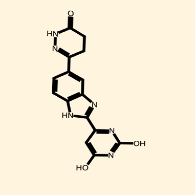 O=C1CCC(c2ccc3[nH]c(-c4cc(O)nc(O)n4)nc3c2)=NN1